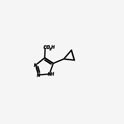 O=C(O)c1nn[nH]c1C1CC1